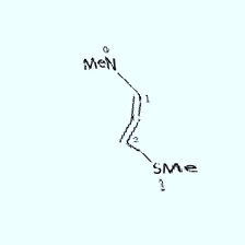 CNC=CSC